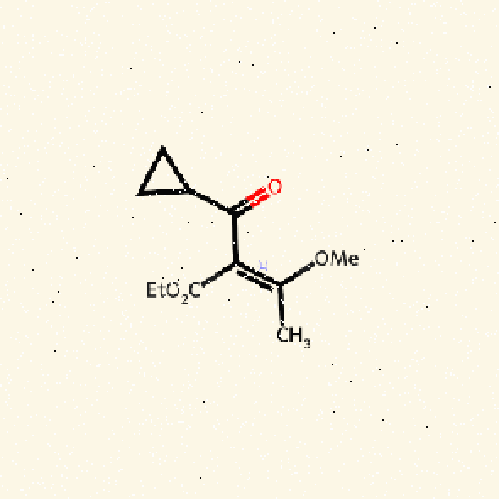 CCOC(=O)/C(C(=O)C1CC1)=C(\C)OC